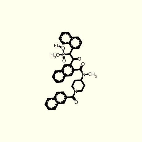 CCOP(C)(=O)C(C(=O)c1cc2ccccc2cc1C(=O)N(C)C1CCN(C(=O)c2ccc3ccccc3c2)CC1)c1cccc2ccccc12